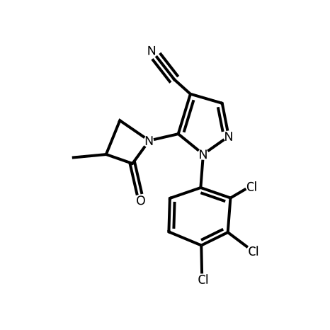 CC1CN(c2c(C#N)cnn2-c2ccc(Cl)c(Cl)c2Cl)C1=O